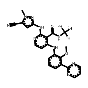 [2H]C([2H])([2H])NC(=O)c1c(Nc2cccc(-c3ncccn3)c2OC)ccnc1Nc1cc(C#N)n(C)n1